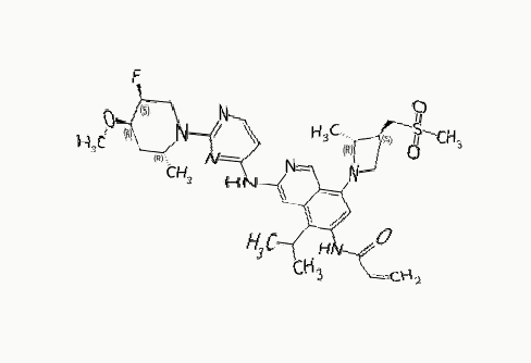 C=CC(=O)Nc1cc(N2C[C@H](CS(C)(=O)=O)[C@H]2C)c2cnc(Nc3ccnc(N4C[C@H](F)[C@H](OC)C[C@H]4C)n3)cc2c1C(C)C